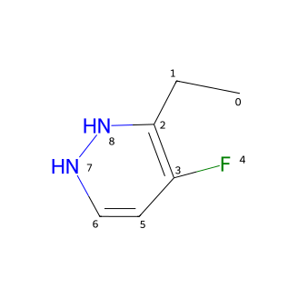 CCC1=C(F)C=CNN1